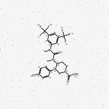 CN(C(=O)N(C)[C@H]1CCN(C(=O)O)C[C@H]1c1ccc(F)cc1)c1cc(C(F)(F)F)cc(C(F)(F)F)c1